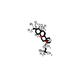 CC(C)[C@@H](C)[C@@]1(C)CC[C@]2(C)[C@H]3CC[C@@H]4[C@]5(CC[C@H](OC[C@](C)(N)C(C)(C)C)[C@@]4(C)COC5)C3=CC[C@@]2(C)[C@@H]1C(=O)O